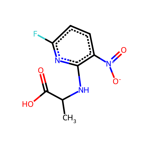 CC(Nc1nc(F)ccc1[N+](=O)[O-])C(=O)O